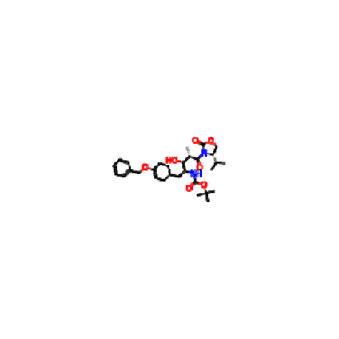 CC(C)[C@H]1COC(=O)N1C(=O)[C@@H](C)[C@H](O)[C@H](CC1CC=C(OCc2ccccc2)CC1)NC(=O)OC(C)(C)C